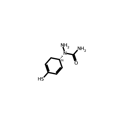 NC(=O)N(N)[C@@H]1C=CC(S)=CC1